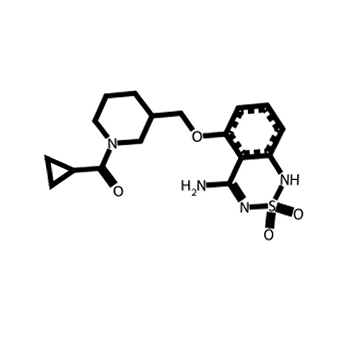 NC1=NS(=O)(=O)Nc2cccc(OCC3CCCN(C(=O)C4CC4)C3)c21